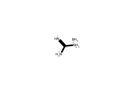 B.N=C(N)N